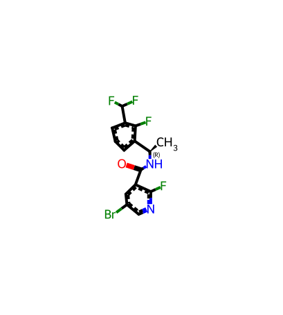 C[C@@H](NC(=O)c1cc(Br)cnc1F)c1cccc(C(F)F)c1F